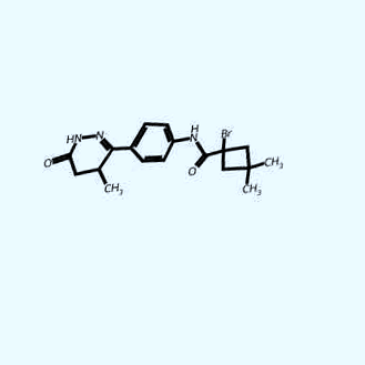 CC1CC(=O)NN=C1c1ccc(NC(=O)C2(Br)CC(C)(C)C2)cc1